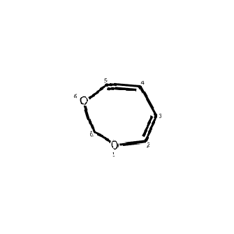 [CH]1OC=CC=CO1